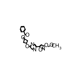 COCOc1cc(-c2cnc(OC3CC(OC(=O)c4ccccc4)C3)cn2)on1